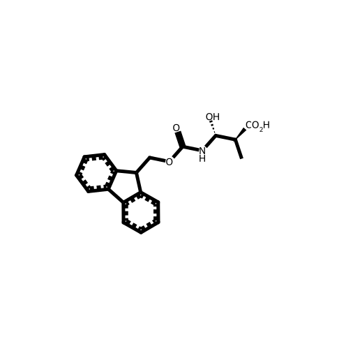 C[C@H](C(=O)O)[C@@H](O)NC(=O)OCC1c2ccccc2-c2ccccc21